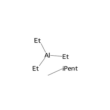 CCCC(C)C.C[CH2][Al]([CH2]C)[CH2]C